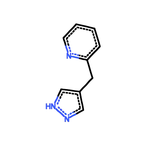 c1ccc(Cc2cn[nH]c2)nc1